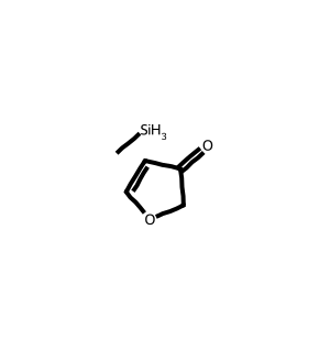 C[SiH3].O=C1C=COC1